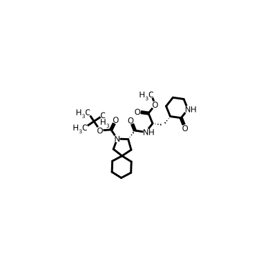 COC(=O)[C@H](C[C@@H]1CCCNC1=O)NC(=O)[C@@H]1CC2(CCCCC2)CN1C(=O)OC(C)(C)C